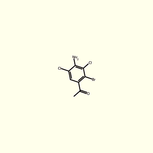 CC(=O)c1cc(Cl)c(N)c(Cl)c1Br